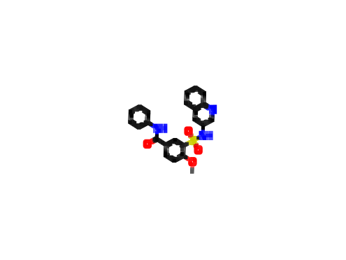 COc1ccc(C(=O)Nc2ccccc2)cc1S(=O)(=O)Nc1cnc2ccccc2c1